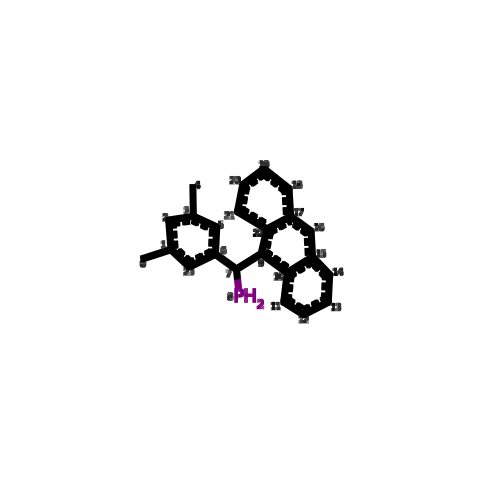 Cc1cc(C)cc([C](P)c2c3ccccc3cc3ccccc23)c1